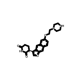 O=C1CC[C@@H](c2coc3cc4ccc(OCCN5CCNCC5)cc4cc23)C(=O)N1